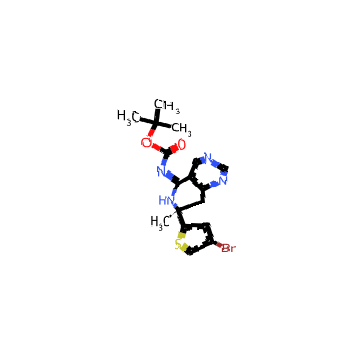 CC(C)(C)OC(=O)/N=C1/N[C@](C)(c2cc(Br)cs2)Cc2ncncc21